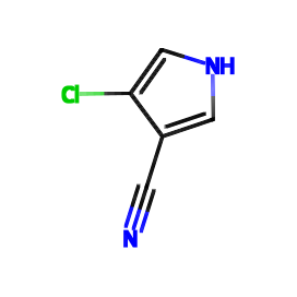 N#Cc1c[nH]cc1Cl